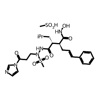 CC(C)C[C@@H](C(=O)NN(CCC(=O)n1ccnc1)S(C)(=O)=O)[C@H](CC=Cc1ccccc1)C(=O)NO.CS(=O)(=O)O